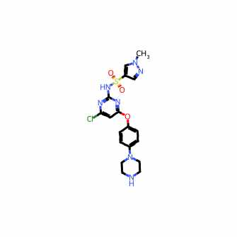 Cn1cc(S(=O)(=O)Nc2nc(Cl)cc(Oc3ccc(N4CCNCC4)cc3)n2)cn1